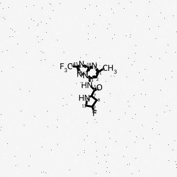 Cc1cc(NC(=O)C2CC(F)CN2)n2nc(C(F)(F)F)nc2n1